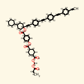 C#Cc1ccc(C#Cc2ccc(C#Cc3ccc(C#CC4(OC(=O)c5ccc(OC(=O)C6CCC(C(=O)OCOC(=O)C=C)CC6)cc5)CCC(C5CCCCC5)CC4)cc3)cc2)cc1